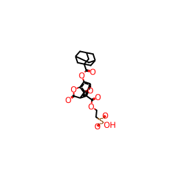 O=C1Oc2c(OC(=O)C34CC5CC(CC(C5)C3)C4)c3oc2c1c3C(=O)OCCS(=O)(=O)O